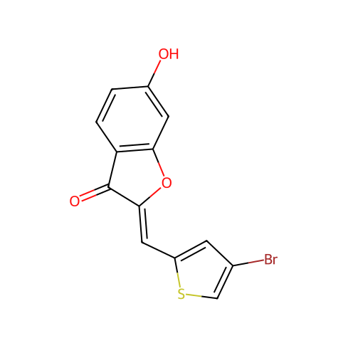 O=C1/C(=C/c2cc(Br)cs2)Oc2cc(O)ccc21